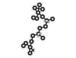 CC1(C)c2ccccc2-c2cc(-c3cccc4ccccc34)c(-c3ccc(-c4cccc(-c5cc(-c6cccc(-c7cccc(-c8nc(-c9ccccc9)cc(-c9ccc(-c%10cc%11c(cc%10-c%10cccc%12ccccc%10%12)-c%10ccccc%10C%11(c%10ccccc%10)c%10ccccc%10)cc9)n8)c7)c6)nc(-c6ccccc6)n5)c4)cc3)cc21